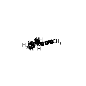 CN1CCN(C2CCN(c3ccc(Nc4nc(Nc5ccc6nccnc6c5P(C)(C)=O)c5cc[nH]c5n4)cc3)CC2)CC1